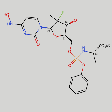 CCOC(=O)[C@H](C)NP(=O)(OC[C@H]1O[C@@H](n2ccc(NO)nc2=O)C(C)(F)[C@H]1O)Oc1ccccc1